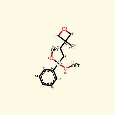 CCCO[Si](CCC1(CC)COC1)(OCCC)c1ccccc1